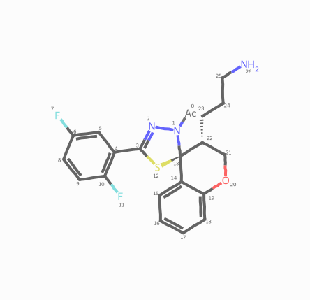 CC(=O)N1N=C(c2cc(F)ccc2F)S[C@@]12c1ccccc1OC[C@H]2CCCN